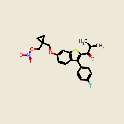 CC(C)C(=O)c1sc2cc(OCC3(CO[N+](=O)[O-])CC3)ccc2c1-c1ccc(F)cc1